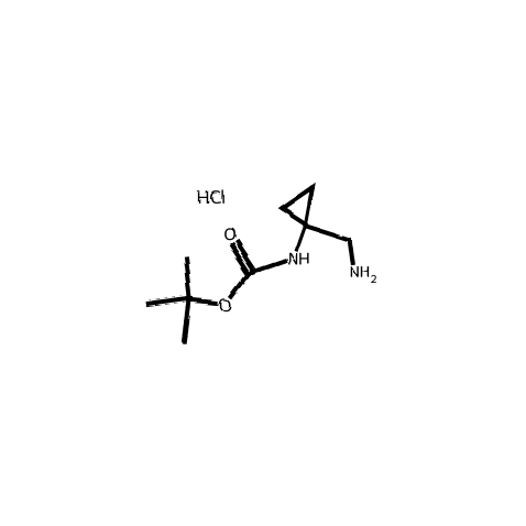 CC(C)(C)OC(=O)NC1(CN)CC1.Cl